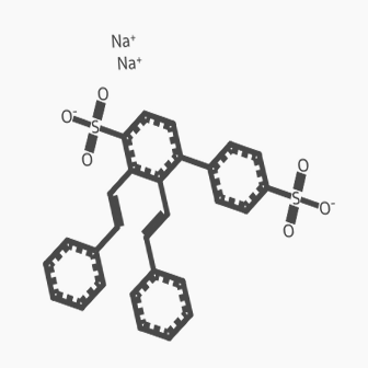 O=S(=O)([O-])c1ccc(-c2ccc(S(=O)(=O)[O-])c(C=Cc3ccccc3)c2C=Cc2ccccc2)cc1.[Na+].[Na+]